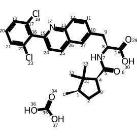 C[C@@H]1CC[C@H](C(=O)N[C@@H](Cc2ccc3nc(-c4c(Cl)cccc4Cl)ccc3c2)C(=O)O)C1(C)C.O=C(O)O